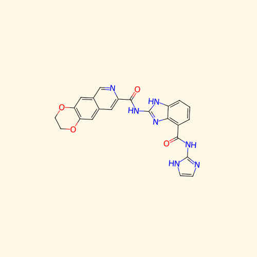 O=C(Nc1nc2c(C(=O)Nc3ncc[nH]3)cccc2[nH]1)c1cc2cc3c(cc2cn1)OCCO3